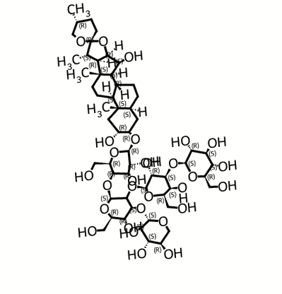 C[C@@H]1CC[C@@]2(OC1)O[C@H]1[C@@H](O)[C@H]3[C@@H]4CC[C@H]5C[C@@H](O[C@@H]6O[C@H](CO)[C@H](O[C@@H]7O[C@H](CO)[C@@H](O)[C@H](O[C@@H]8OC[C@@H](O)[C@H](O)[C@H]8O)C7O[C@@H]7O[C@H](CO)[C@H](O)[C@H](O[C@@H]8O[C@H](CO)[C@@H](O)[C@H](O)[C@H]8O)[C@H]7O)[C@H](O)[C@H]6O)[C@H](O)C[C@]5(C)[C@H]4CC[C@]3(C)[C@H]1[C@@H]2C